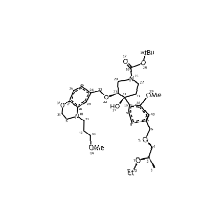 CCO[C@H](C)COCc1ccc([C@@]2(O)CCN(C(=O)OC(C)(C)C)C[C@@H]2OCc2ccc3c(c2)N(CCCOC)CCO3)c(OC)c1